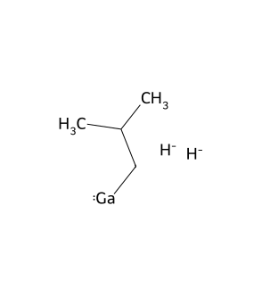 CC(C)[CH2][Ga].[H-].[H-]